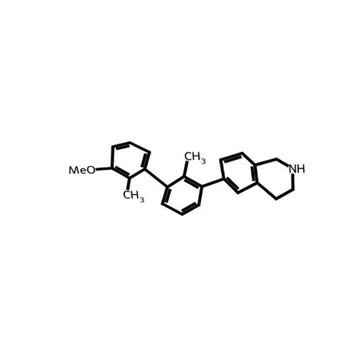 COc1cccc(-c2cccc(-c3ccc4c(c3)CCNC4)c2C)c1C